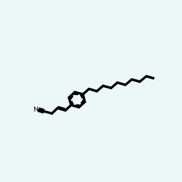 CCCCCCCCCCc1ccc(C=CCC#N)cc1